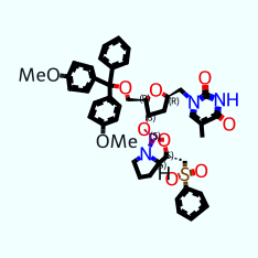 COc1ccc(C(OC[C@H]2O[C@@H](Cn3cc(C)c(=O)[nH]c3=O)C[C@@H]2O[P@]2O[C@H](CS(=O)(=O)c3ccccc3)[C@@H]3CCCN32)(c2ccccc2)c2ccc(OC)cc2)cc1